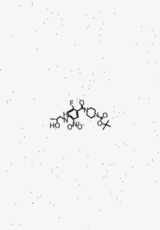 C[C@H](O)CNc1cc(F)c(C(=O)N2CCN(C(=O)OC(C)(C)C)CC2)cc1[N+](=O)[O-]